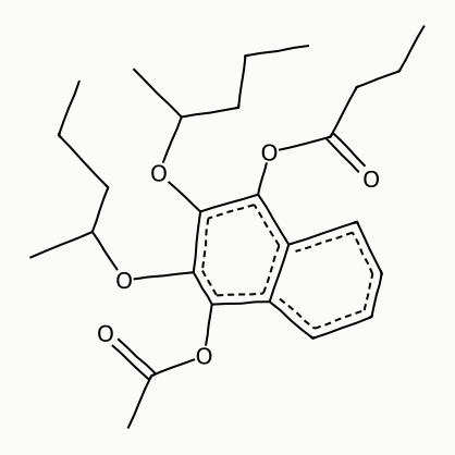 CCCC(=O)Oc1c(OC(C)CCC)c(OC(C)CCC)c(OC(C)=O)c2ccccc12